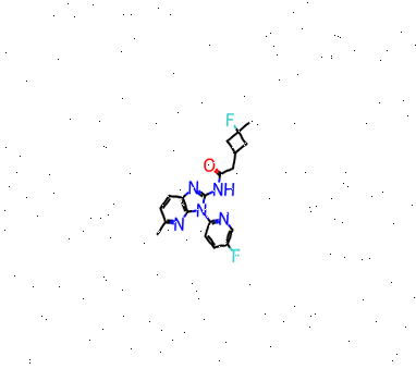 Cc1ccc2nc(NC(=O)CC3CC(C)(F)C3)n(-c3ccc(F)cn3)c2n1